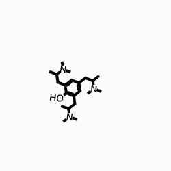 CC(Cc1cc(CC(C)N(C)C)c(O)c(CC(C)N(C)C)c1)N(C)C